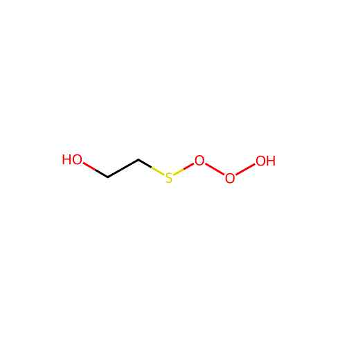 OCCSOOO